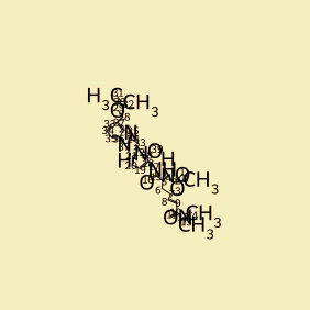 COC(=O)NC(CCC=CC(=O)N(C)C)C(=O)Nc1cccn(Cc2nc3c(COC(C)C)cccc3[nH]2)c1=O